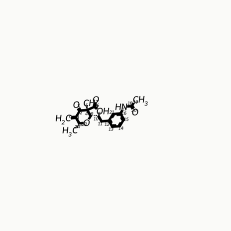 C=C1C(=O)[C@](C)(C(=O)O)[C@H](CCc2cccc(NC(C)=O)c2)O[C@@H]1C